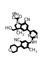 Cc1cc(C2CCOCC2)c(C#N)cc1Nc1nccc(-c2cc(C#N)c3c(c2)[C@@](C)(CO)CN3C(=O)OC(C)(C)C)n1